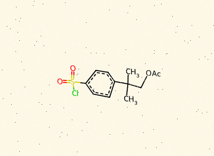 CC(=O)OCC(C)(C)c1ccc(S(=O)(=O)Cl)cc1